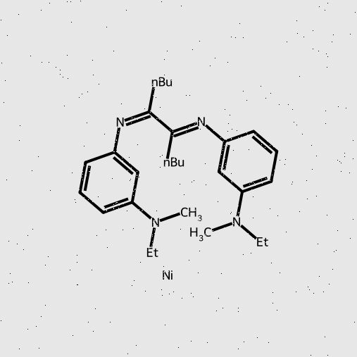 CCCCC(=Nc1cccc(N(C)CC)c1)C(CCCC)=Nc1cccc(N(C)CC)c1.[Ni]